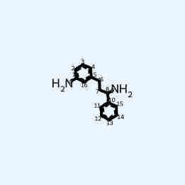 Nc1cccc([CH]CC(N)c2ccccc2)c1